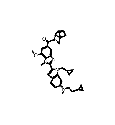 COc1cc(C(=O)N2CC34CC(CC23)C4)cc2nc(-c3cc4ccc(N(C)CCC5CC5)cc4n3CC3CC3)n(C)c12